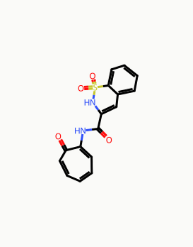 O=C(Nc1cccccc1=O)C1=Cc2ccccc2S(=O)(=O)N1